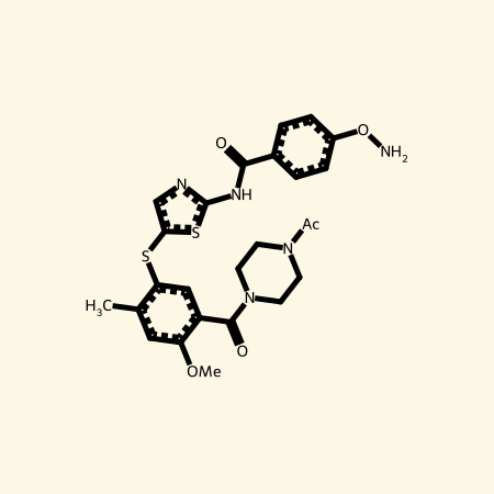 COc1cc(C)c(Sc2cnc(NC(=O)c3ccc(ON)cc3)s2)cc1C(=O)N1CCN(C(C)=O)CC1